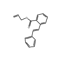 C=CCOC(=O)c1ccccc1C=Cc1ccccc1